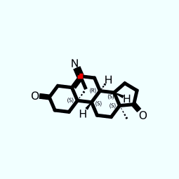 C[C@]12CC[C@H]3[C@@H](CC=C4CC(=O)CC[C@@]43CC#N)[C@@H]1CCC2=O